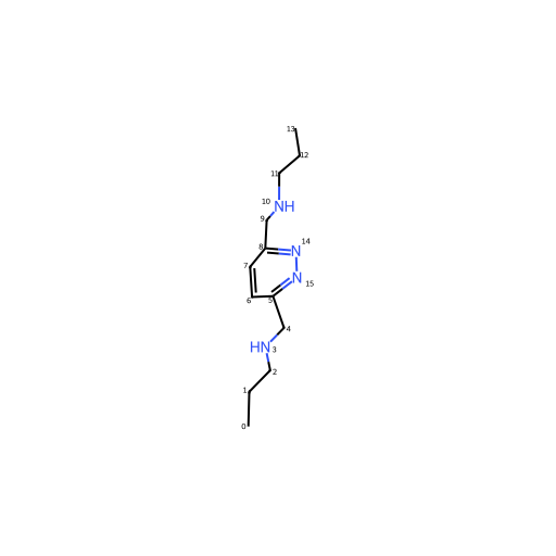 CCCNCc1ccc(CNCCC)nn1